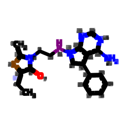 C=c1s/c(=C/C)c(=O)n1CCPn1cc(-c2ccccc2)c2c(N)ncnc21